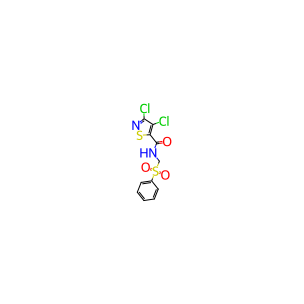 O=C(NCS(=O)(=O)c1ccccc1)c1snc(Cl)c1Cl